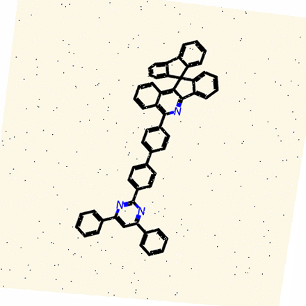 c1ccc(-c2cc(-c3ccccc3)nc(-c3ccc(-c4ccc(-c5nc6c(c7ccccc57)C5(c7ccccc7-c7ccccc75)c5ccccc5-6)cc4)cc3)n2)cc1